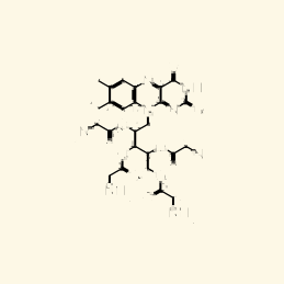 Cc1cc2nc3c(=O)[nH]c(=O)nc-3n(CC(OC(=O)CN)C(OC(=O)CN)C(COC(=O)CN)OC(=O)CN)c2cc1C